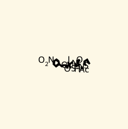 CC(=O)N(c1cccs1)C1C(=O)N2CC(CI)(C(=O)OCc3ccc([N+](=O)[O-])cc3)CS[C@H]12